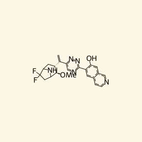 C=C(c1cnc(-c2cc3ccncc3cc2O)nn1)[C@H]1CC2NC(CC2(F)F)[C@@H]1OC